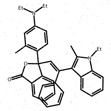 CCN(CC)c1ccc(C2(/C=C(\c3ccccc3)c3c(C)n(CC)c4ccccc34)OC(=O)c3ccccc32)c(C)c1